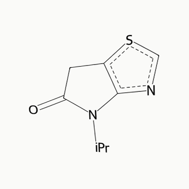 CC(C)N1C(=O)Cc2scnc21